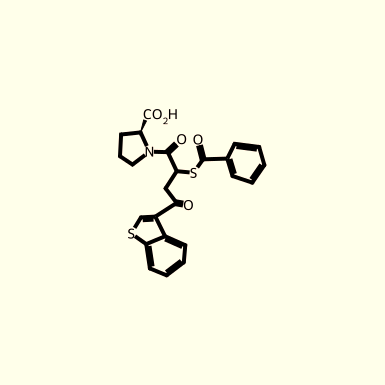 O=C(SC(CC(=O)c1csc2ccccc12)C(=O)N1CCC[C@H]1C(=O)O)c1ccccc1